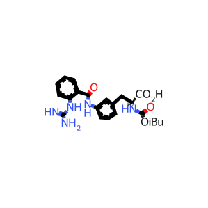 CC(C)COC(=O)N[C@@H](Cc1cccc(NC(=O)c2ccccc2NC(=N)N)c1)C(=O)O